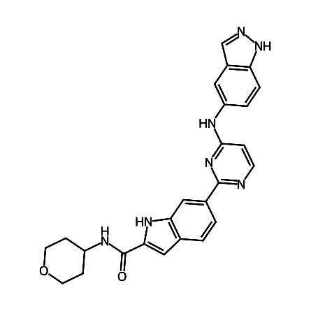 O=C(NC1CCOCC1)c1cc2ccc(-c3nccc(Nc4ccc5[nH]ncc5c4)n3)cc2[nH]1